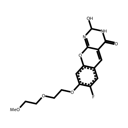 COCCOCCOc1cc2c(cc1F)C=C1C(=O)NC(O)N=C1O2